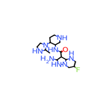 CC1NCCN1C1CCNCC1NC(=O)C1C(N)NN2CC(F)CNC12